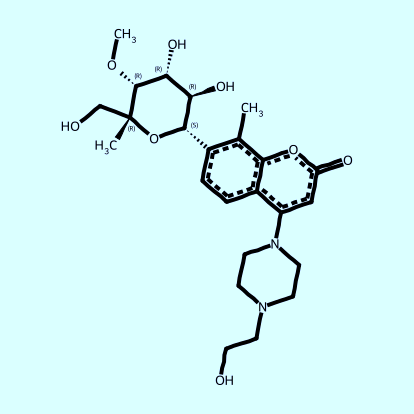 CO[C@@H]1[C@H](O)[C@@H](O)[C@H](c2ccc3c(N4CCN(CCO)CC4)cc(=O)oc3c2C)O[C@]1(C)CO